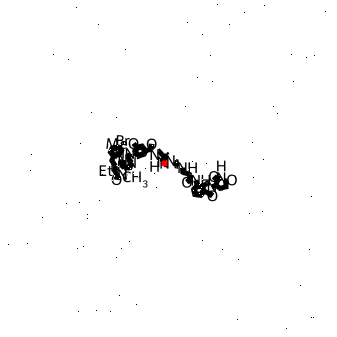 CC[C@@H]1C(=O)N(C)c2cnc(Nc3ccc(C(=O)NCc4cn(CCNCCC(=O)Nc5cccc6c5CN(C5CCC(=O)NC5=O)C6=O)nn4)cc3OC)nc2N1Cc1ccc(Br)cc1